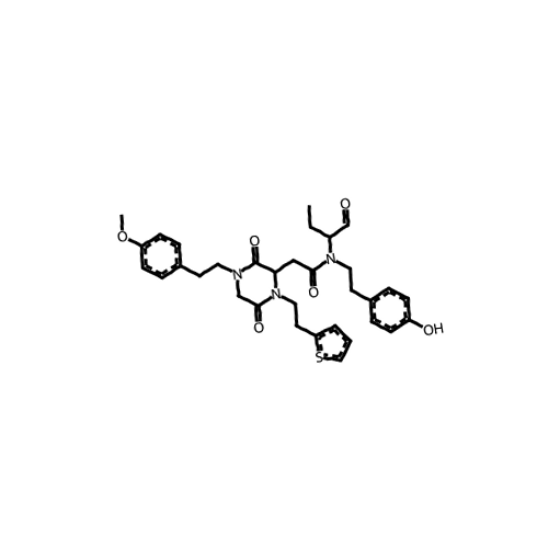 CCC(C=O)N(CCc1ccc(O)cc1)C(=O)CC1C(=O)N(CCc2ccc(OC)cc2)CC(=O)N1CCc1cccs1